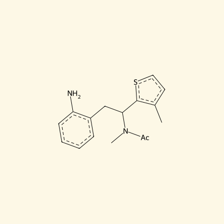 CC(=O)N(C)C(Cc1ccccc1N)c1sccc1C